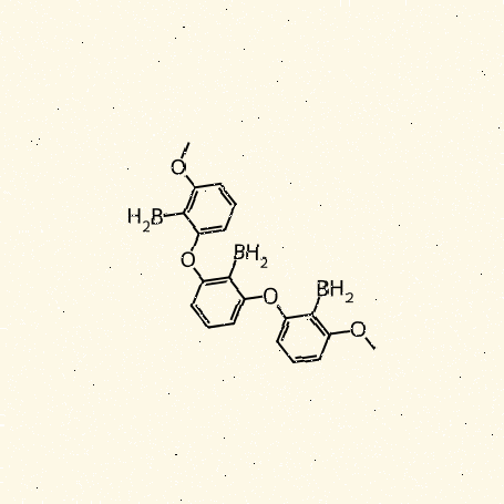 Bc1c(OC)cccc1Oc1cccc(Oc2cccc(OC)c2B)c1B